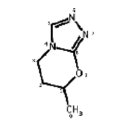 CC1CCn2cnnc2O1